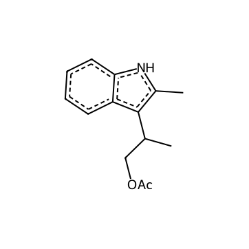 CC(=O)OCC(C)c1c(C)[nH]c2ccccc12